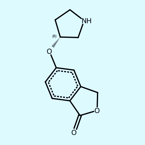 O=C1OCc2cc(O[C@@H]3CCNC3)ccc21